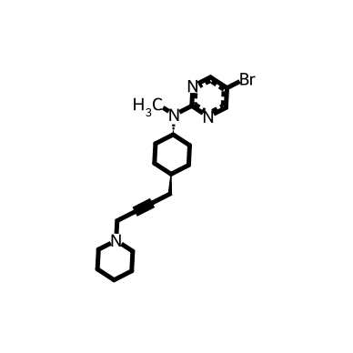 CN(c1ncc(Br)cn1)[C@H]1CC[C@H](CC#CCN2CCCCC2)CC1